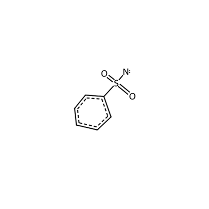 [N]S(=O)(=O)c1ccccc1